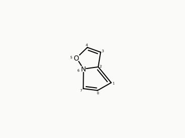 c1cc2ccon2c1